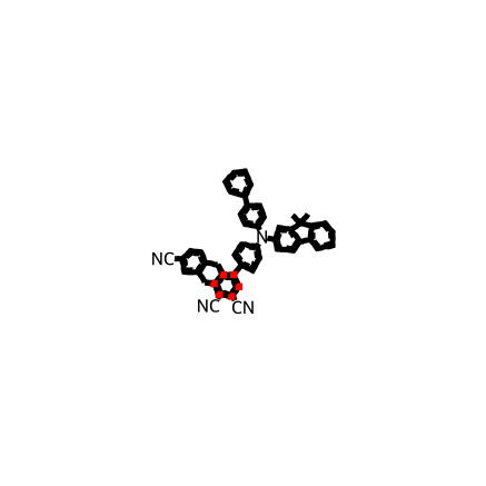 CC1(C)c2ccccc2-c2ccc(N(c3ccc(-c4ccccc4)cc3)c3ccc(-c4ccc(C#N)c5c4C4c6ccc(C#N)cc6C5c5cc(C#N)ccc54)cc3)cc21